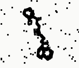 Clc1cccnc1NCCNCCNc1cccc2cccnc12